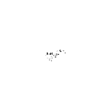 Cl.O.[BaH2].[BaH2]